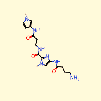 Cn1ccc(NC(=O)CCNC(=O)c2nc(NC(=O)CCCN)cn2C)c1